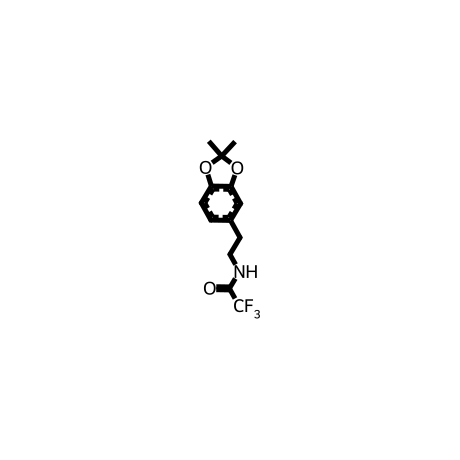 CC1(C)Oc2ccc(CCNC(=O)C(F)(F)F)cc2O1